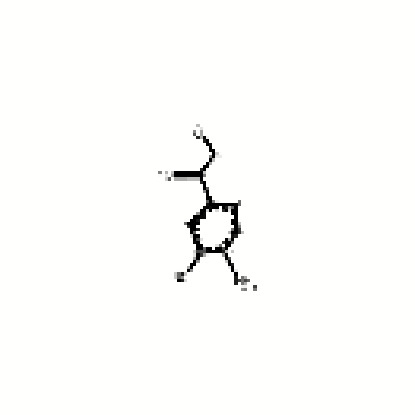 N#Cc1cc(C(=O)CCl)ccc1N